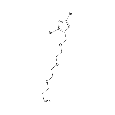 COCCOCCOCCOCc1cc(Br)sc1Br